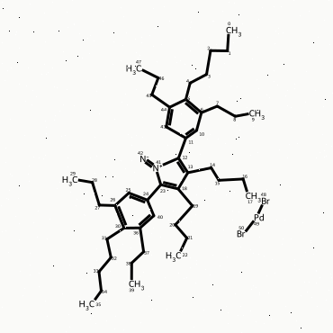 CCCCCc1c(CCC)cc(C2=C(CCCC)C(CCCC)=C(c3cc(CCC)c(CCCCC)c(CCC)c3)[N+]2=[N-])cc1CCC.[Br][Pd][Br]